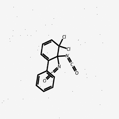 O=C=NC1(N=C=O)C(c2ccccc2)=CC=CC1(Cl)Cl